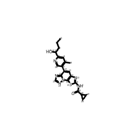 CCCC(O)c1cc(C)c(-c2cc3nc(NC(=O)C4CC4)sc3n3ncnc23)cn1